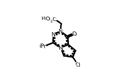 CC(C)c1nn(CC(=O)O)c(=O)c2cc(Cl)cn12